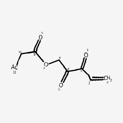 C=CC(=O)C(=O)COC(=O)CC(C)=O